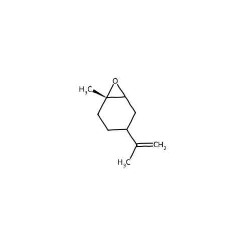 C=C(C)C1CC[C@]2(C)OC2C1